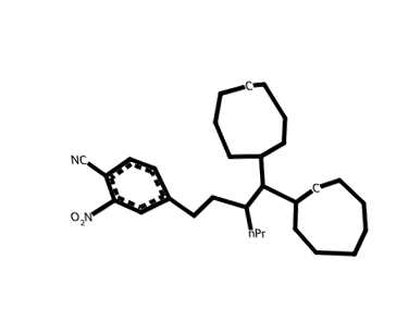 CCCC(CCc1ccc(C#N)c([N+](=O)[O-])c1)C(C1CCCCCCC1)C1CCCCCCC1